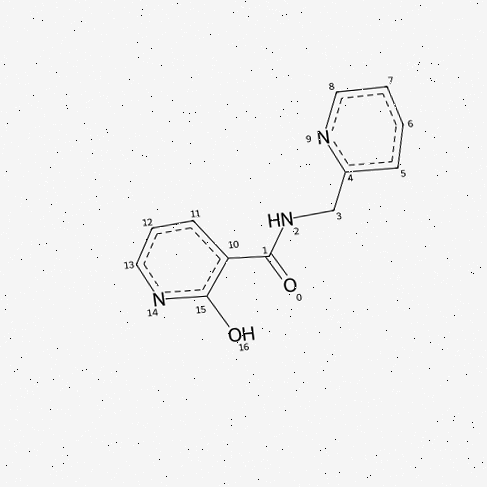 O=C(NCc1ccccn1)c1cccnc1O